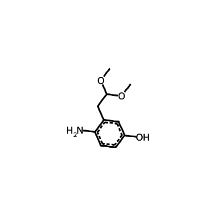 COC(Cc1cc(O)ccc1N)OC